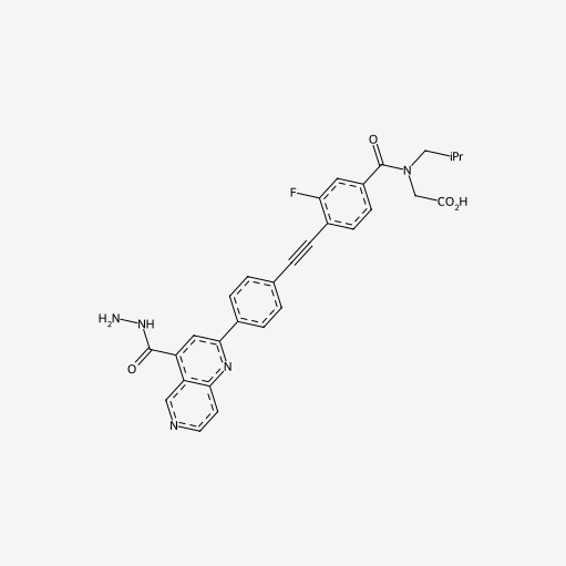 CC(C)CN(CC(=O)O)C(=O)c1ccc(C#Cc2ccc(-c3cc(C(=O)NN)c4cnccc4n3)cc2)c(F)c1